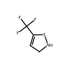 FC(F)(F)C1=C[CH]NS1